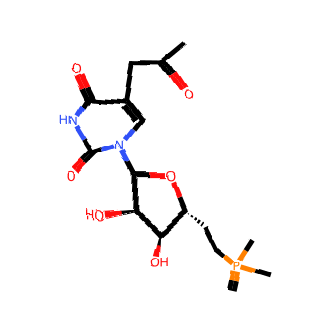 C=P(C)(C)CC[C@H]1OC(n2cc(CC(C)=O)c(=O)[nH]c2=O)[C@H](O)[C@@H]1O